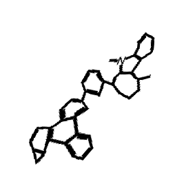 CC1CCCC(c2cccc(-c3ccc4c5c(c6ccccc6c4c3)C3CC3C=C5)c2)C2C1C1C=CC=CC1N2C